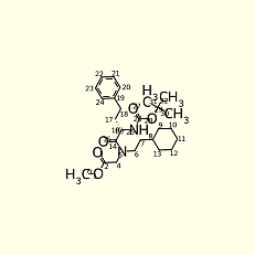 COC(=O)CN(CCC1CCCCC1)C(=O)[C@H](CCc1ccccc1)NC(=O)OC(C)(C)C